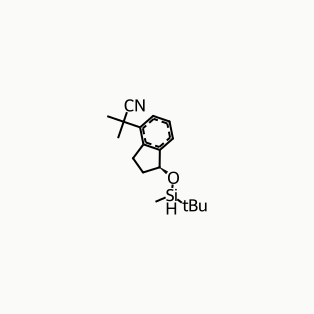 C[SiH](O[C@H]1CCc2c1cccc2C(C)(C)C#N)C(C)(C)C